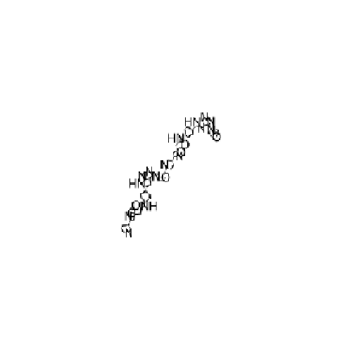 O=C(Cc1cc(-c2cccnc2)no1)Nc1ccc(-c2cc3c(N4CCOC(c5ccc(-c6cc(CC(=O)Nc7ccc(-c8nc9c(N%10CCOCC%10)ncnc9[nH]8)cc7)on6)cn5)C4)ncnc3[nH]2)cc1